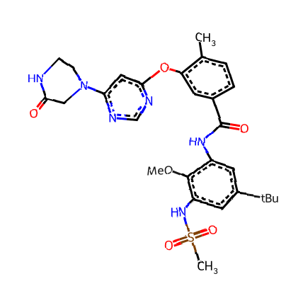 COc1c(NC(=O)c2ccc(C)c(Oc3cc(N4CCNC(=O)C4)ncn3)c2)cc(C(C)(C)C)cc1NS(C)(=O)=O